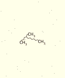 CC[CH]CC(CC)CCCCCCC